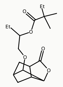 CCC(COC1C2CC3C(=O)OC1C3C2)OC(=O)C(C)(C)CC